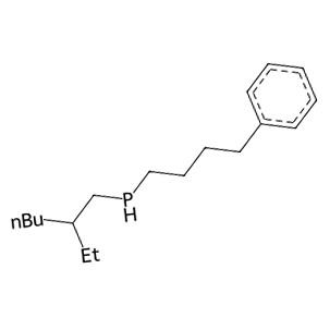 CCCCC(CC)CPCCCCc1ccccc1